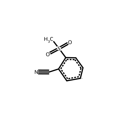 CS(=O)(=O)c1cc[c]cc1C#N